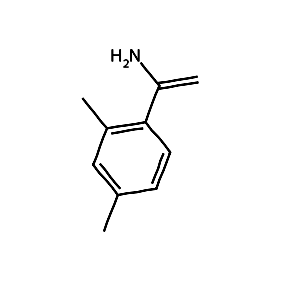 C=C(N)c1ccc(C)cc1C